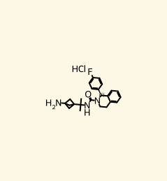 CC(C)(NC(=O)N1CCc2ccccc2[C@@H]1c1ccc(F)cc1)C12CC(N)(C1)C2.Cl